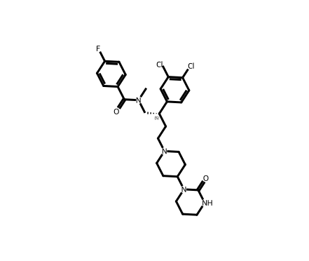 CN(C[C@@H](CCN1CCC(N2CCCNC2=O)CC1)c1ccc(Cl)c(Cl)c1)C(=O)c1ccc(F)cc1